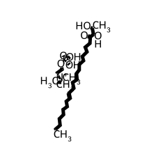 CCCCCCCCC=CCCCCCCCCCCCC(=O)C(O)C(C)O.C[N+](C)(C)CCOP(=O)(O)O